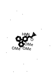 COc1ccc(C2(c3ccccc3)C=Cc3c(C(=O)C4CC4)n[nH]c3C2)c(OC)c1OC